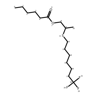 CCCCCC(=O)OCC(C)SCCCCCCC(F)(F)F